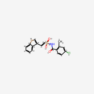 Cc1cc(Cl)ccc1C(=O)NS(=O)(=O)/C=C/c1csc2ccccc12